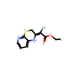 CCOC(=O)C(Cl)=C1CSc2ncccc2N1